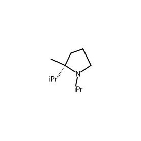 CC(C)N1CCC[C@@]1(C)C(C)C